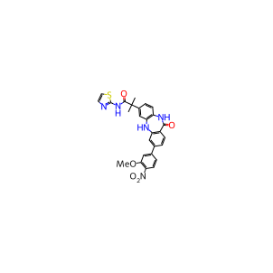 COc1cc(-c2ccc3c(c2)Nc2cc(C(C)(C)C(=O)Nc4nccs4)ccc2NC3=O)ccc1[N+](=O)[O-]